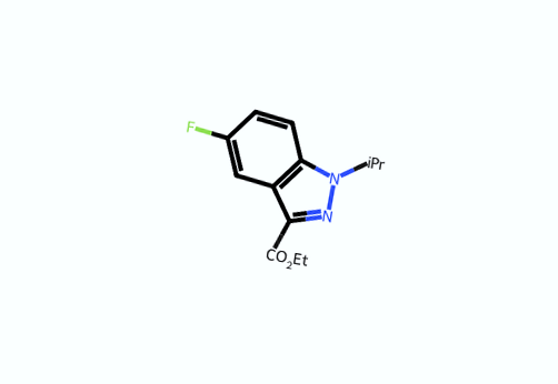 CCOC(=O)c1nn(C(C)C)c2ccc(F)cc12